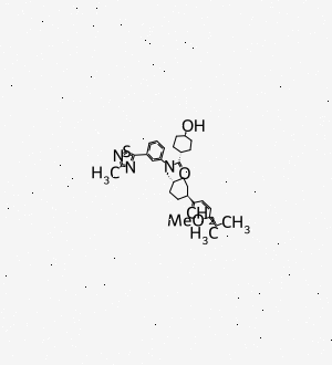 C=C(/C=C\C(OC)=C(C)C)[C@H]1CC[C@H](CN(c2cccc(-c3nc(C)ns3)c2)C(=O)[C@H]2CC[C@H](O)CC2)CC1